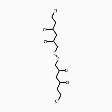 ClCCC(Cl)CC(Cl)CSSCC(Cl)CC(Cl)CCCl